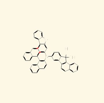 CC1(C)c2ccc(N(c3ccc4c(c3)oc3ccccc34)c3ccc4ccccc4c3-c3cccc4ccccc34)cc2-c2ccc3ccccc3c21